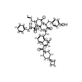 C=CCN1CC(=O)N2[C@@H](Cc3ccc(O)cc3)C(=O)N(Cc3cccc4c(C(=O)N5CCC(N6CCC6)CC5)cn(C)c34)C[C@@H]2N1C(=O)NCc1ccccc1